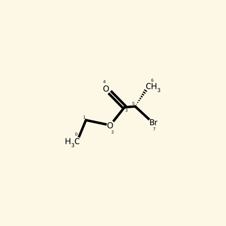 CCOC(=O)[C@H](C)Br